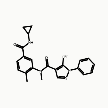 CCCc1c(C(=O)N(C)c2cc(C(=O)NC3CC3)ccc2C)cnn1-c1ccccc1